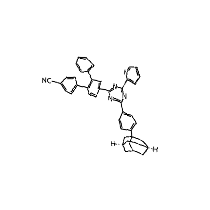 N#Cc1ccc(-c2ccc(-c3nc(-c4ccc(C56CC7C[C@H](C5)C[C@@H](C7)C6)cc4)nc(-c4ccccn4)n3)cc2-c2ccccc2)cc1